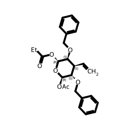 C=C[C@H]1[C@H](OCc2ccccc2)[C@@H](OC(C)=O)O[C@H](OC(=O)CC)[C@H]1OCc1ccccc1